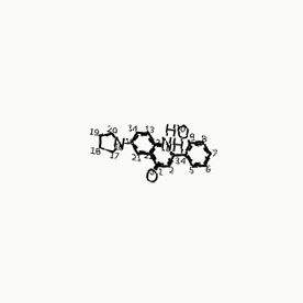 O=c1cc(-c2ccccc2O)[nH]c2ccc(N3CCCC3)cc12